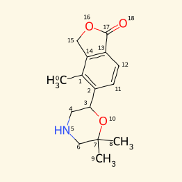 Cc1c(C2CNCC(C)(C)O2)ccc2c1COC2=O